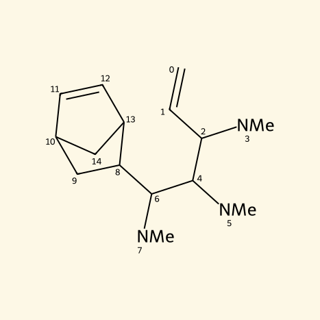 C=CC(NC)C(NC)C(NC)C1CC2C=CC1C2